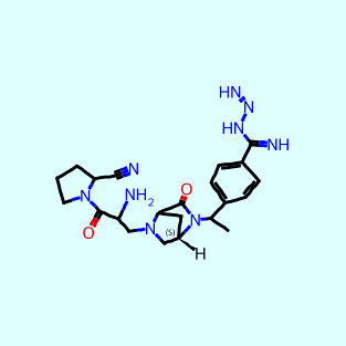 CC(c1ccc(C(=N)NN=N)cc1)N1C(=O)C2C[C@H]1CN2CC(N)C(=O)N1CCCC1C#N